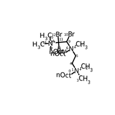 CCCCCCCC[N+](C)(C)CC[N+](C)(CCCCCCCC)C(Br)C(Br)(Br)[N+](C)(C)CCCCCCCC